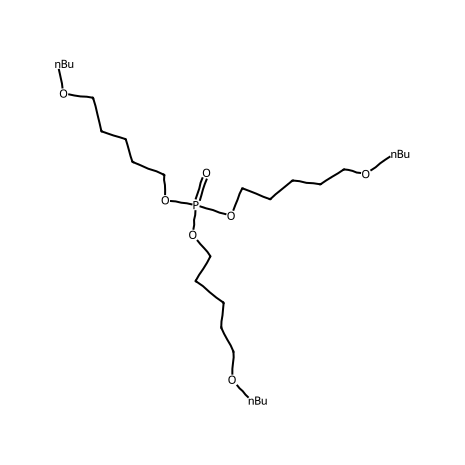 CCCCOCCCCCOP(=O)(OCCCCCOCCCC)OCCCCCOCCCC